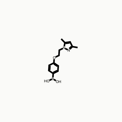 Cc1cc(C)n(CCOc2ccc(B(O)O)cc2)n1